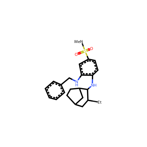 CCC1CC2CCC(C2)C1Nc1ccc(S(=O)(=O)NC)cc1NCc1ccccc1